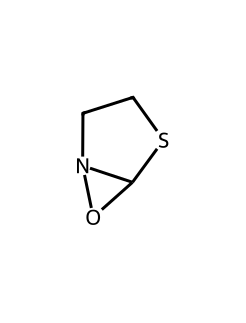 C1CN2OC2S1